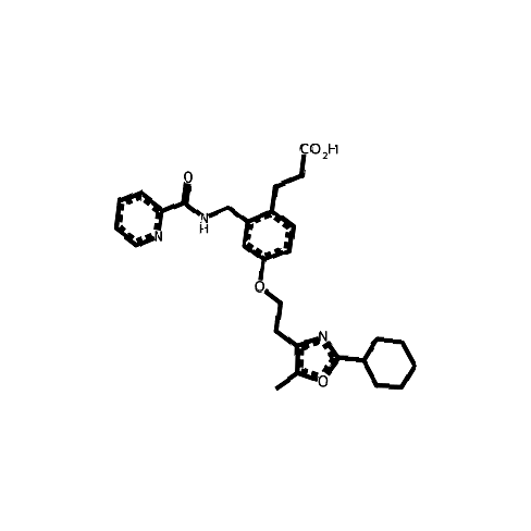 Cc1oc(C2CCCCC2)nc1CCOc1ccc(CCC(=O)O)c(CNC(=O)c2ccccn2)c1